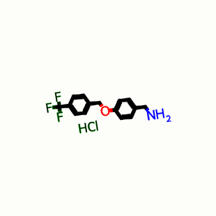 Cl.NCc1ccc(OCc2ccc(C(F)(F)F)cc2)cc1